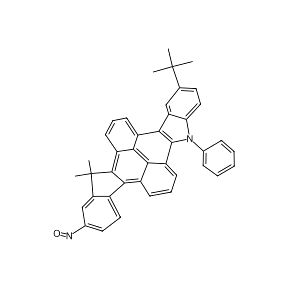 CC(C)(C)c1ccc2c(c1)c1c3cccc4c5c(c6cccc(c6c43)c1n2-c1ccccc1)-c1ccc(N=O)cc1C5(C)C